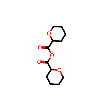 O=C(OC(=O)C1CCCCO1)C1CCCCO1